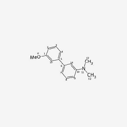 COc1cccc(-c2cc[c]c(N(C)C)c2)c1